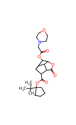 CC(C)(C)C1(OC(=O)C2C3CC4C(OC(=O)C42)C3OC(=O)CN2CCOCC2)CCCC1